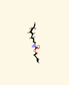 C=CCCOC(=O)NC/C=C/CC/C=C\CC